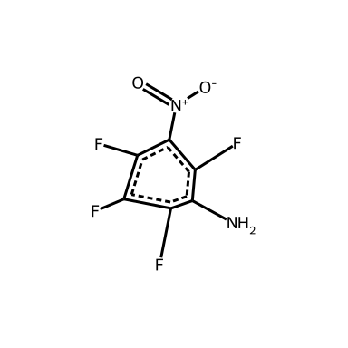 Nc1c(F)c(F)c(F)c([N+](=O)[O-])c1F